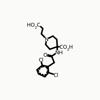 O=C(O)CCN1CCC(NC(=O)Cc2c(Cl)cccc2Cl)(C(=O)O)CC1